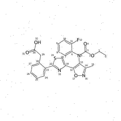 CCOC(=O)N(c1ccccc1F)c1c(C)noc1-c1csc(-c2ccccc2CC(=O)O)n1